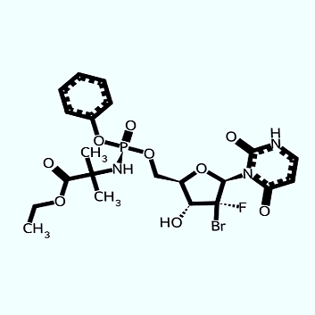 CCOC(=O)C(C)(C)N[P@@](=O)(OC[C@H]1O[C@@H](n2c(=O)cc[nH]c2=O)[C@@](F)(Br)[C@@H]1O)Oc1ccccc1